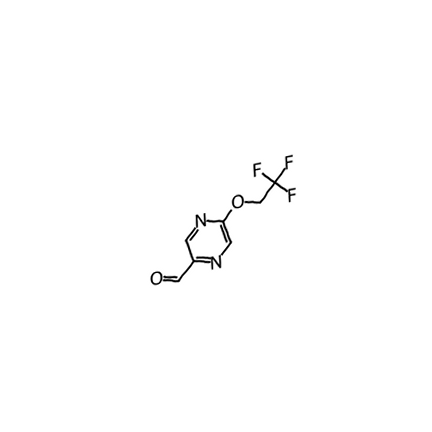 O=Cc1cnc(OCC(F)(F)F)cn1